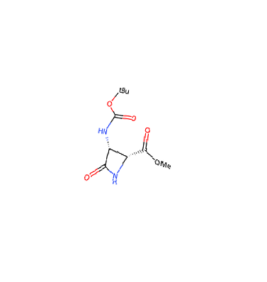 COC(=O)[C@@H]1NC(=O)[C@@H]1NC(=O)OC(C)(C)C